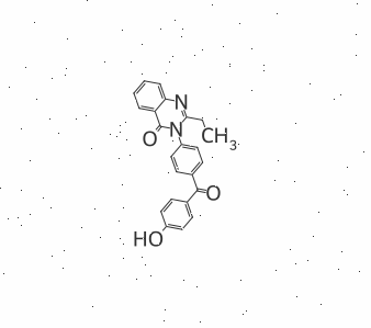 CCc1nc2ccccc2c(=O)n1-c1ccc(C(=O)c2ccc(O)cc2)cc1